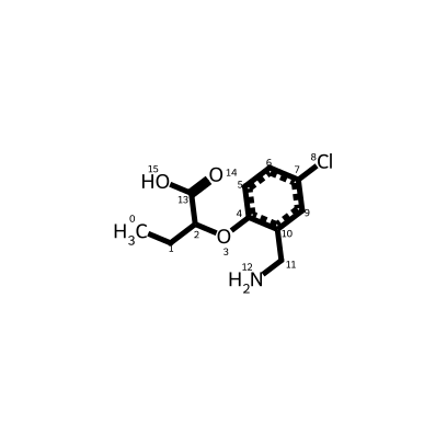 CCC(Oc1ccc(Cl)cc1CN)C(=O)O